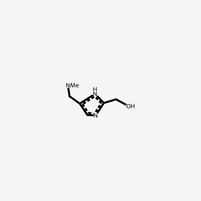 CNCc1cnc(CO)[nH]1